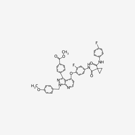 COC(=O)c1ccc(-c2nn(Cc3ccc(OC)cc3)c3nccc(Oc4ccc(NC(=O)C5(C(=O)Nc6ccc(F)cc6)CC5)cc4F)c23)cc1